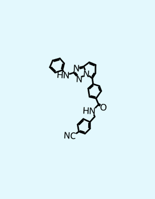 N#Cc1ccc(CNC(=O)c2ccc(-c3cccc4nc(Nc5ccccc5)nn34)cc2)cc1